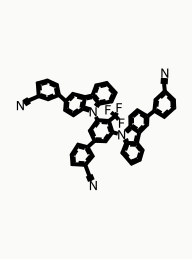 N#Cc1cccc(-c2cc(-n3c4ccccc4c4cc(-c5cccc(C#N)c5)ccc43)c(C(F)(F)F)c(-n3c4ccccc4c4cc(-c5cccc(C#N)c5)ccc43)c2)c1